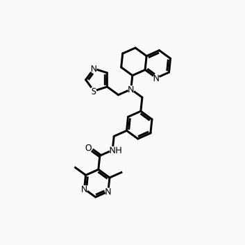 Cc1ncnc(C)c1C(=O)NCc1cccc(CN(Cc2cncs2)C2CCCc3cccnc32)c1